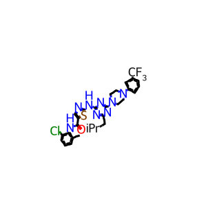 Cc1cccc(Cl)c1NC(=O)c1cnc(Nc2nc(CC(C)C)nc(N3CCN(c4cccc(C(F)(F)F)c4)CC3)n2)s1